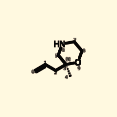 C=CC[C@@]1(C)CNCCO1